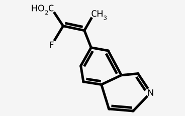 C/C(=C(/F)C(=O)O)c1ccc2ccncc2c1